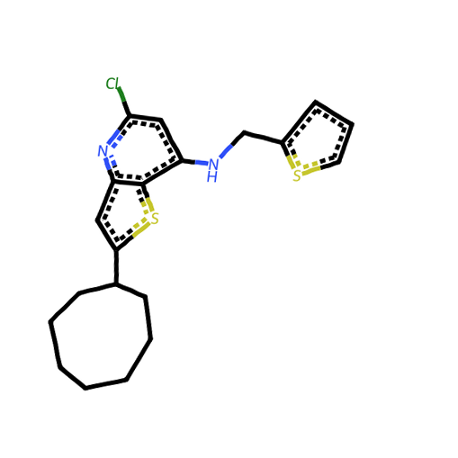 Clc1cc(NCc2cccs2)c2sc(C3CCCCCCC3)cc2n1